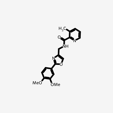 COc1ccc(-c2nc(CNC(=O)c3ncccc3C)co2)cc1OC